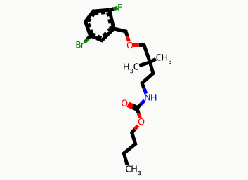 CCCCOC(=O)NCCC(C)(C)COCc1cc(Br)ccc1F